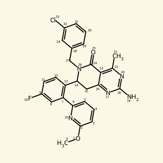 COc1cccc(-c2cc(F)ccc2C2Cc3nc(N)nc(C)c3C(=O)N2Cc2cccc(Cl)c2)n1